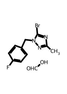 Cc1nc(Br)n(Cc2ccc(F)cc2)n1.O=CO